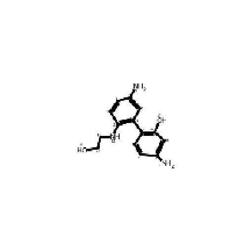 Nc1ccc(-c2cc(N)ccc2NCCO)c(O)c1